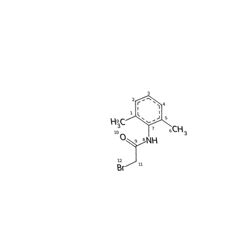 Cc1cccc(C)c1NC(=O)CBr